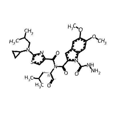 COc1cc2cc(C(=O)N(C(=O)c3csc(N(CC(C)C)C4CC4)n3)[C@H]([C]=O)CC(C)C)n(C(=O)NN)c2cc1OC